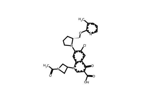 CC(=O)N1CC(n2cc(C(=O)O)c(=O)c3cc(Cl)c(N4CCC[C@@H]4COc4ncccc4C)cc32)C1